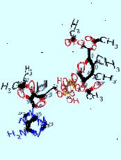 CC(=O)OC[C@@H](OC(C)=O)C1O[C@@H](OP(=O)(O)OP(=O)(O)OC[C@H]2O[C@@H](n3cnc4c(N)ncnc43)C3OC(C)(C)O[C@H]32)C(OC(C)=O)[C@@H](C)[C@@H]1C